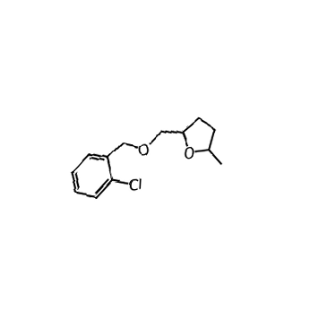 CC1CCC(COCc2ccccc2Cl)O1